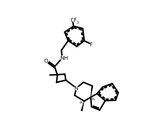 C[C@H]1CN(C2CC(C)(C(=O)NCc3cc(F)cc(C(F)(F)F)c3)C2)CC[C@@]12C=Cc1ccccc12